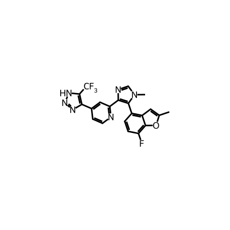 Cc1cc2c(-c3c(-c4cc(-c5nn[nH]c5C(F)(F)F)ccn4)ncn3C)ccc(F)c2o1